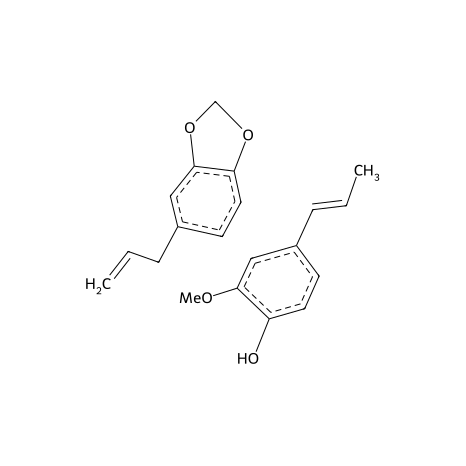 C=CCc1ccc2c(c1)OCO2.CC=Cc1ccc(O)c(OC)c1